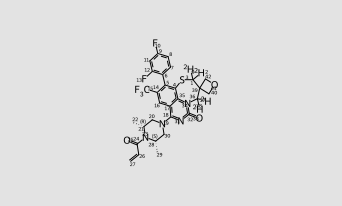 [2H]C1([2H])Sc2c(-c3ccc(F)cc3F)c(C(F)(F)F)cc3c(N4C[C@@H](C)N(C(=O)C=C)[C@@H](C)C4)nc(=O)n(c23)C([2H])([2H])C12COC2